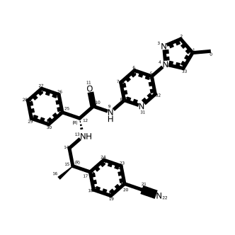 Cc1cnn(-c2ccc(NC(=O)[C@H](NC[C@H](C)c3ccc(C#N)cc3)c3ccccc3)nc2)c1